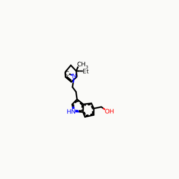 CCC1(C)CC2C=CC1N(CCc1c[nH]c3ccc(CO)cc13)C2